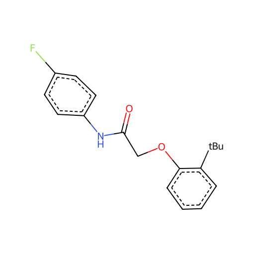 CC(C)(C)c1ccccc1OCC(=O)Nc1ccc(F)cc1